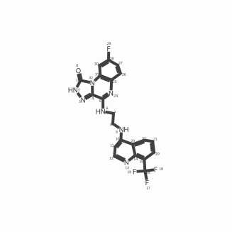 O=c1[nH]nc2c(NCCNc3ccnc4c(C(F)(F)F)cccc34)nc3ccc(F)cc3n12